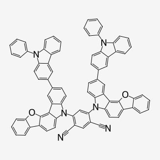 N#Cc1cc(C#N)c(-n2c3ccc(-c4ccc5c(c4)c4ccccc4n5-c4ccccc4)cc3c3c4oc5ccccc5c4ccc32)cc1-n1c2ccc(-c3ccc4c(c3)c3ccccc3n4-c3ccccc3)cc2c2c3oc4ccccc4c3ccc21